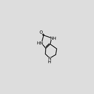 O=c1[nH]c2c([nH]1)CNCC2